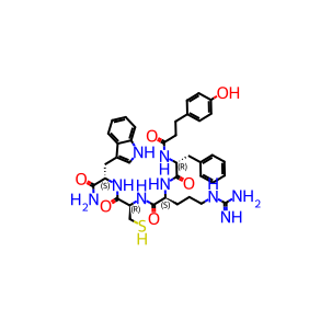 N=C(N)NCCC[C@H](NC(=O)[C@@H](Cc1ccccc1)NC(=O)CCc1ccc(O)cc1)C(=O)N[C@@H](CS)C(=O)N[C@@H](Cc1c[nH]c2ccccc12)C(N)=O